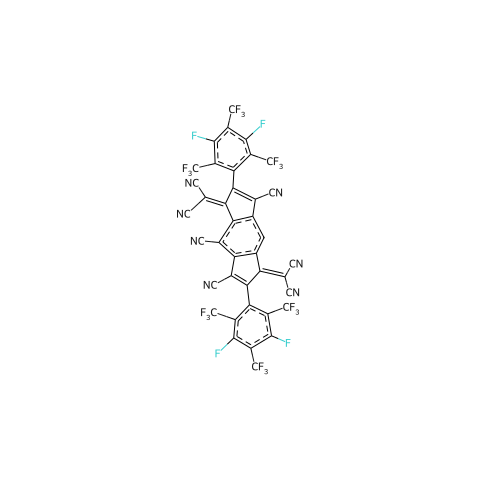 N#CC(C#N)=C1C(c2c(C(F)(F)F)c(F)c(C(F)(F)F)c(F)c2C(F)(F)F)=C(C#N)c2c1cc1c(c2C#N)C(=C(C#N)C#N)C(c2c(C(F)(F)F)c(F)c(C(F)(F)F)c(F)c2C(F)(F)F)=C1C#N